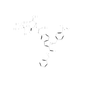 CC(O)CN(C(=O)OC(C)(C)C)C(C)Cc1ccc2c(c1)cc(C(=O)OCc1ccccc1)n2Cc1ccc([N+](=O)[O-])cc1